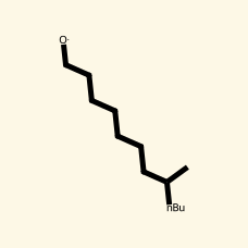 CCCCC(C)CCCCCCC[O]